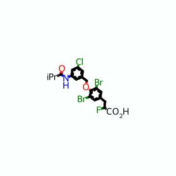 CC(C)C(=O)Nc1cc(Cl)cc(COc2c(Br)cc(CC(F)C(=O)O)cc2Br)c1